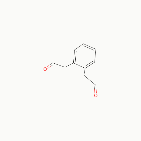 O=CCc1ccccc1CC=O